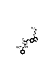 COCCOc1ccnc2ccc(/C=C3\SC(N[C@@H](CO)c4ccccc4)=NC3=O)cc12